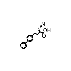 N#CSC(CCc1ccc(-c2ccccc2)cc1)C(=O)O